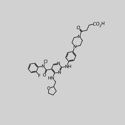 O=C(O)CCC(=O)N1CCN(c2ccc(Nc3ncc(C(=O)N(Cl)c4ccccc4F)c(NCC4CCCO4)n3)cc2)CC1